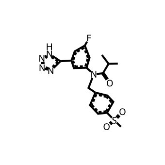 CC(C)C(=O)N(Cc1ccc(S(C)(=O)=O)cc1)c1cc(F)cc(-c2nnn[nH]2)c1